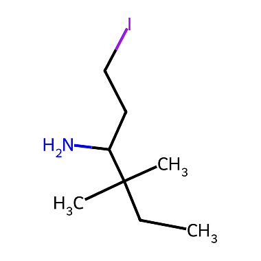 CCC(C)(C)C(N)CCI